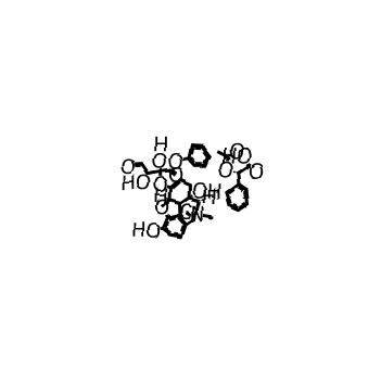 CC(=O)O[C@H](C(=O)O)c1ccccc1.CN1CC[C@]23c4c5ccc(O)c4O[C@H]2C(O[C@@](O)(C(=O)Oc2ccccc2)[C@H](O)C=O)=CC[C@@]3(O)[C@H]1C5